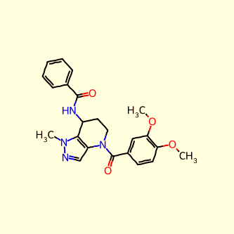 COc1ccc(C(=O)N2CCC(NC(=O)c3ccccc3)c3c2cnn3C)cc1OC